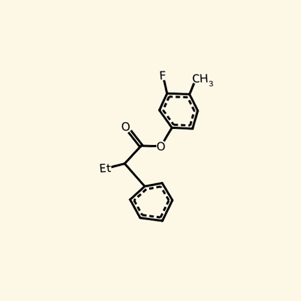 CCC(C(=O)Oc1ccc(C)c(F)c1)c1ccccc1